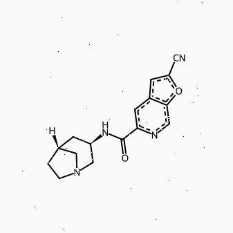 N#Cc1cc2cc(C(=O)N[C@@H]3C[C@H]4CCN(C4)C3)ncc2o1